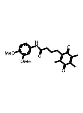 COc1ccc(NC(=O)CCCC2=C(C)C(=O)C(C)=C(C)C2=O)cc1OC